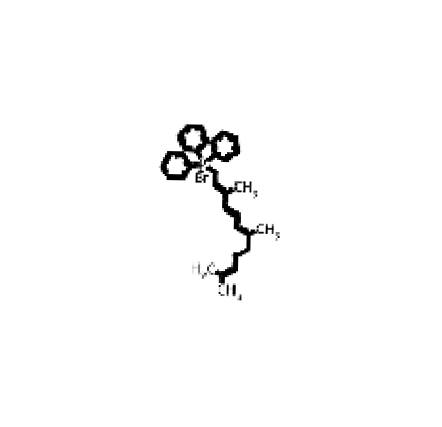 CC(C)=CCC/C(C)=C/C=C/C(C)=C/CP(Br)(c1ccccc1)(c1ccccc1)c1ccccc1